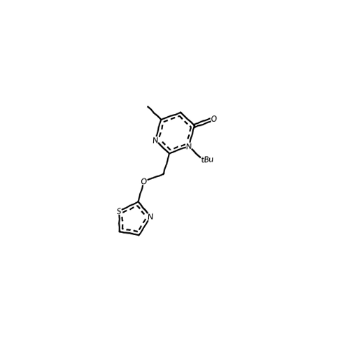 Cc1cc(=O)n(C(C)(C)C)c(COc2nccs2)n1